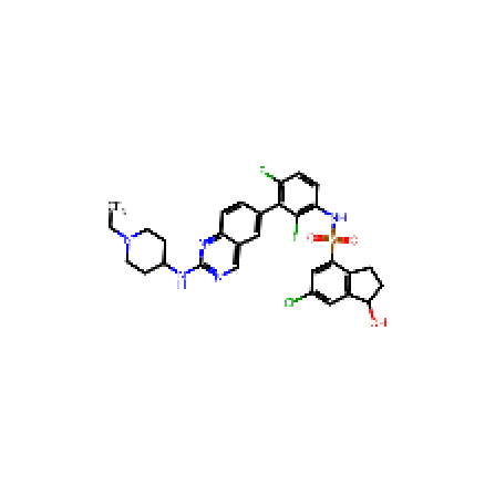 O=S(=O)(Nc1ccc(F)c(-c2ccc3nc(NC4CCN(CC(F)(F)F)CC4)ncc3c2)c1F)c1cc(Cl)cc2c1CCC2O